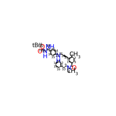 Cc1ccc(C(=O)N(C)CCc2ccccc2)cc1C#CCNc1ccc(C(=N)NC(=O)OC(C)(C)C)cc1